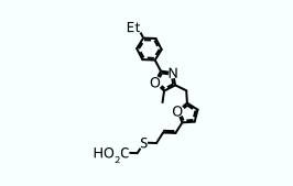 CCc1ccc(-c2nc(Cc3ccc(C=CCSCC(=O)O)o3)c(C)o2)cc1